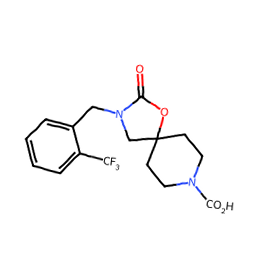 O=C(O)N1CCC2(CC1)CN(Cc1ccccc1C(F)(F)F)C(=O)O2